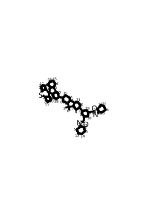 CC1(C)c2cc(-c3cc(-c4nc5ccccc5o4)cc(-c4nc5ccccc5o4)c3)ccc2-c2ccc(-c3ccc4c(c3)-c3ccccc3C43c4ccccc4Sc4ccccc43)cc21